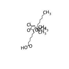 CCCCCCCCC1(O[Si](C)(C)C)C=C(Cl)C(=O)/C1=C\CCCCCC(=O)O